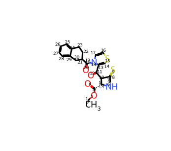 CCOC(=O)[C@H]1NCC(=S)C1C(=O)C1=CSC=CN1C(=O)C1CCc2ccccc2C1